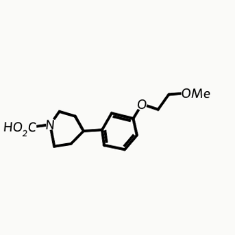 COCCOc1cccc(C2CCN(C(=O)O)CC2)c1